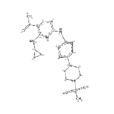 CC(=O)c1cnc(Nc2ccc(N3CCN(S(C)(=O)=O)CC3)cc2)nc1NC1CC1